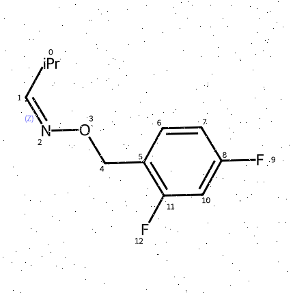 CC(C)/[C]=N\OCc1ccc(F)cc1F